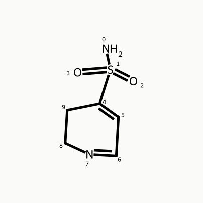 NS(=O)(=O)C1=CC=NCC1